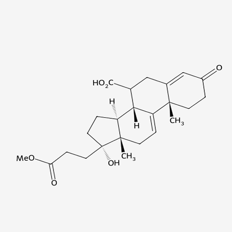 COC(=O)CC[C@@]1(O)CC[C@H]2[C@H]3C(=CC[C@@]21C)[C@@]1(C)CCC(=O)C=C1CC3C(=O)O